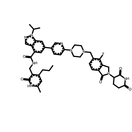 CCCc1cc(C)[nH]c(=O)c1CNC(=O)c1cc(-c2ccc(N3CCN(Cc4ccc5c(c4F)CN(C4CCC(=O)NC4=O)C5=O)CC3)nc2)cc2c1cnn2C(C)C